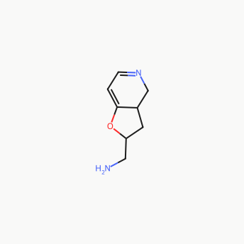 NCC1CC2CN=CC=C2O1